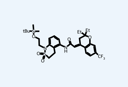 CCC1(CC)CC(=CC(=O)Nc2cccc3c2CCS(=O)(=O)N3CCO[Si](C)(C)C(C)(C)C)c2ccc(C(F)(F)F)cc2O1